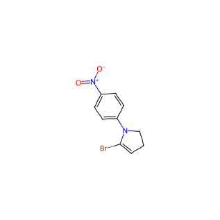 O=[N+]([O-])c1ccc(N2CCC=C2Br)cc1